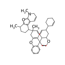 CC1CCC(C2(C)C=CC3=C(C2)Oc2ccccc2C32C3C=CC=CC3OC3CC(C4C=CCCC4)C=CC32)c2c1oc1c2C=CCN1C